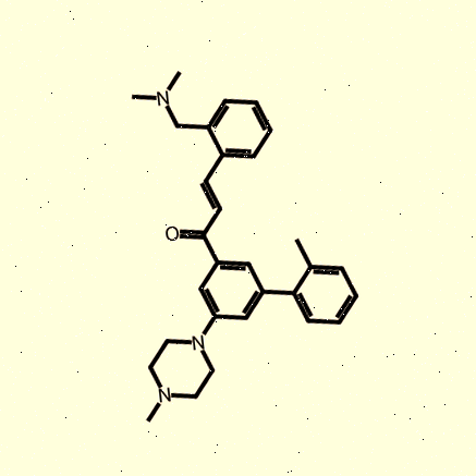 Cc1ccccc1-c1cc(C(=O)C=Cc2ccccc2CN(C)C)cc(N2CCN(C)CC2)c1